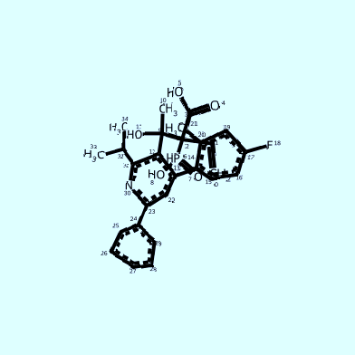 C=CC(C(=O)O)([PH](=O)O)C(C)(O)c1c(-c2ccc(F)cc2C)cc(-c2ccccc2)nc1C(C)C